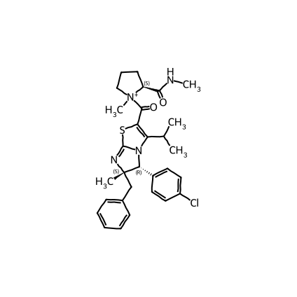 CNC(=O)[C@@H]1CCC[N+]1(C)C(=O)C1=C(C(C)C)N2C(=N[C@@](C)(Cc3ccccc3)[C@H]2c2ccc(Cl)cc2)S1